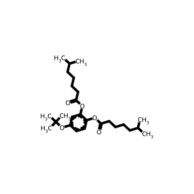 CC(C)CCCCC(=O)Oc1ccc(OC(C)(C)C)cc1OC(=O)CCCCC(C)C